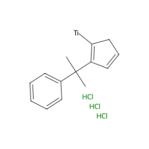 CC(C)(C1=[C]([Ti])CC=C1)c1ccccc1.Cl.Cl.Cl